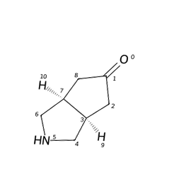 O=C1C[C@H]2CNC[C@H]2C1